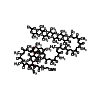 CCC(=O)OC(C)C(=O)OC(C)C(=O)OC(C)C(=O)OC(C)C(=O)OC(C)C(=O)OC(C)C(=O)OC(C)C(=O)ON(C)CC(=O)N(C)CC(=O)N(C)CC(=O)N(C)CC(=O)N(C)CC(=O)N(C)CC(=O)N(C)CC(=O)N(C)CC(=O)N(C)CC(=O)N(C)CC(=O)N(C)CC(=O)N(C)CC(=O)N(C)CC(=O)N(C)CC(=O)N(C)CC(=O)N(C)CC(=O)N(C)CC(=O)N(C)CC(=O)N(C)CC(=O)N(C)CC(=O)NCCOC